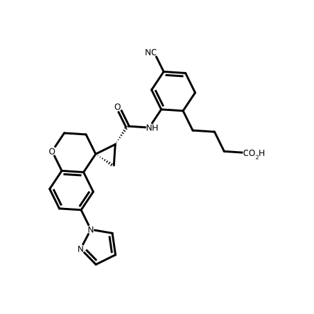 N#CC1=CCC(CCCC(=O)O)C(NC(=O)[C@@H]2C[C@]23CCOc2ccc(-n4cccn4)cc23)=C1